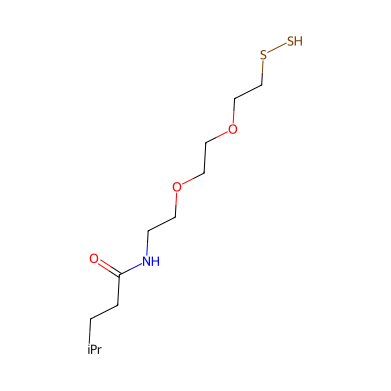 CC(C)CCC(=O)NCCOCCOCCSS